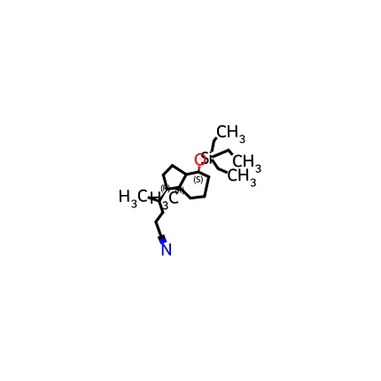 CC[Si](CC)(CC)O[C@H]1CCC[C@@]2(C)C1CC[C@@H]2C(C)CCC#N